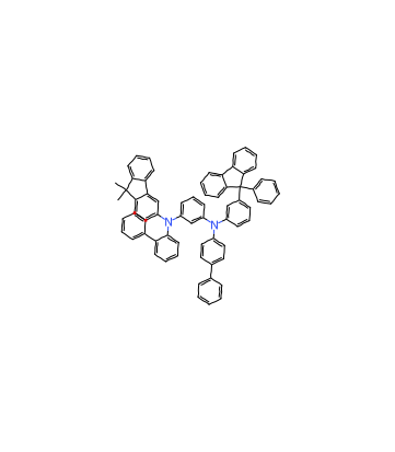 CC1(C)c2ccccc2-c2cc(N(c3cccc(N(c4ccc(-c5ccccc5)cc4)c4cccc(C5(c6ccccc6)c6ccccc6-c6ccccc65)c4)c3)c3ccccc3-c3ccccc3)ccc21